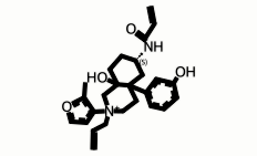 C=CC[N+]1(c2ccoc2C)CCC2(c3cccc(O)c3)C[C@@H](NC(=O)C=C)CCC2(O)C1